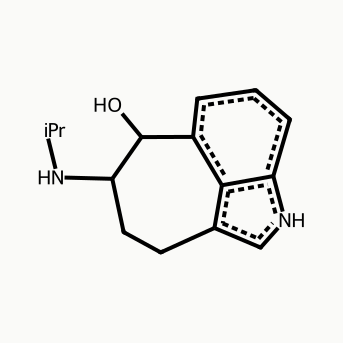 CC(C)NC1CCc2c[nH]c3cccc(c23)C1O